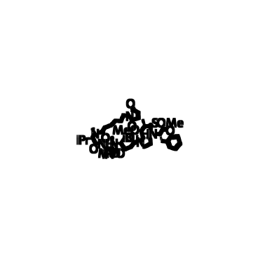 CC[C@H](C)[C@@H]([C@@H](CC(=O)N1CCC[C@H]1[C@H](OC)[C@@H](C)C(=S)N[C@@H](Cc1ccccc1)C(=O)OC)OC)N(C)C(=O)[C@@H](NC(=O)[C@H](C(C)C)N(C)C(=O)CCCCCN1C(=O)C=CC1=O)C(C)C